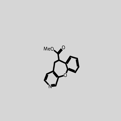 COC(=O)C1Cc2ccncc2Oc2ccccc21